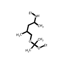 CCNC(C)CC(C)COC(C)(C)OCC